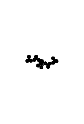 c1ccc(-c2nc3c(-c4ccc(-n5c6ccccc6c6cc(-c7ccc8c9ccccc9n(-c9ccccc9)c8c7)ccc65)cc4)cnc(-c4ccc(-n5c6ccccc6c6cc(-c7ccc8c9ccccc9n(-c9ccccc9)c8c7)ccc65)cc4)c3nc2-c2ccccc2)cc1